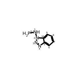 PNn1nnc2ccccc21